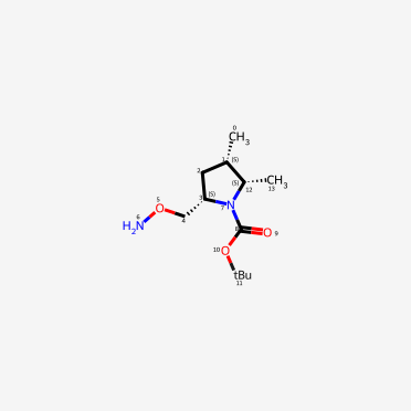 C[C@H]1C[C@@H](CON)N(C(=O)OC(C)(C)C)[C@H]1C